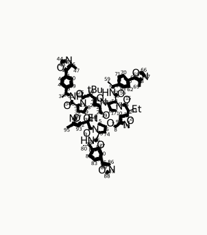 CC[C@@H](C(=O)N1C[C@H](OCc2cc([C@@H](CC)C(=O)N3C[C@H](OCc4cc([C@H](C(=O)N5C[C@H](O)C[C@H]5C(=O)N[C@@H](C)c5ccc(-c6ocnc6C)cc5)C(C)(C)C)on4)C[C@H]3C(=O)N[C@@H](C)c3ccc(-c4ocnc4C)cc3)on2)C[C@H]1C(=O)N[C@@H](C)c1ccc(-c2cnco2)cc1)c1cc(C)no1